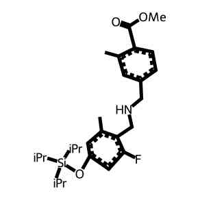 COC(=O)c1ccc(CNCc2c(C)cc(O[Si](C(C)C)(C(C)C)C(C)C)cc2F)cc1C